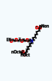 CCCCCCCCCOC(=O)CCCCCCCN(CCCCCCCC(=O)OC(CCCCCCCC)CCCCCCCC)CCOCCOCCOCCOCC